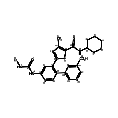 CCNC(=O)Nc1cc(-c2nc(C(F)(F)F)c(C(=O)NC3CCCCC3)s2)c(-c2cncc(C(=O)O)c2)cn1